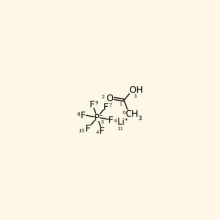 CC(=O)O.F[P-](F)(F)(F)(F)F.[Li+]